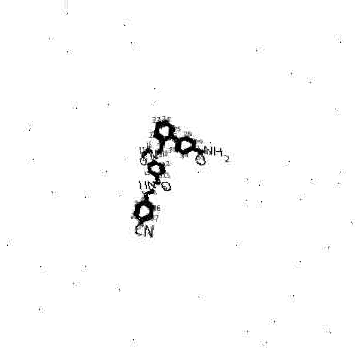 N#Cc1ccc(CCNC(=O)c2ccc3c(c2)OCCN3Cc2ccccc2-c2ccc(C(N)=O)cc2)cc1